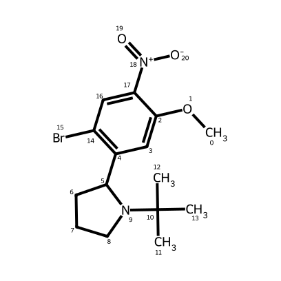 COc1cc(C2CCCN2C(C)(C)C)c(Br)cc1[N+](=O)[O-]